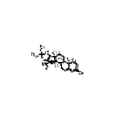 CC1(C)O[C@@H]2C[C@H]3[C@@H]4CCC5=CC(=O)CC[C@]5(C)C4=CC[C@]3(C)[C@]2(C(=O)CCl)O1